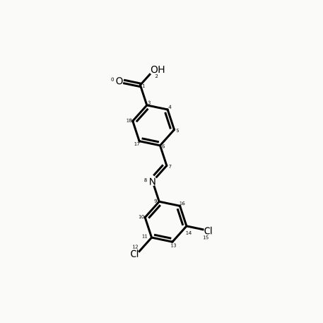 O=C(O)c1ccc(C=Nc2cc(Cl)cc(Cl)c2)cc1